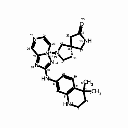 CC1(C)CCNc2cc(NC3=N[N+]4(N5CC[C@]6(CNC(=O)C6)C5)C=CN=CC4=N3)ccc21